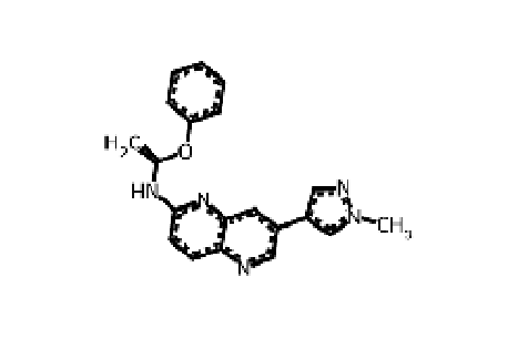 C=C(Nc1ccc2ncc(-c3cnn(C)c3)cc2n1)Oc1ccccc1